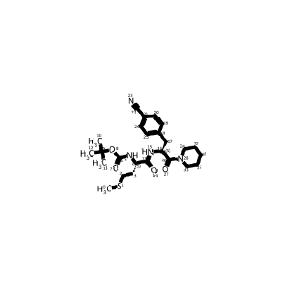 CSCC[C@H](NC(=O)OC(C)(C)C)C(=O)N[C@@H](Cc1ccc(C#N)cc1)C(=O)N1CCCCC1